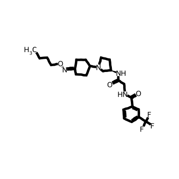 CCCCON=C1CCC(N2CC[C@@H](NC(=O)CNC(=O)c3cccc(C(F)(F)F)c3)C2)CC1